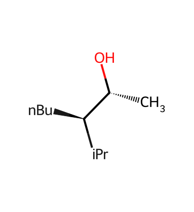 CCCC[C@H](C(C)C)[C@@H](C)O